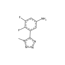 Cn1nnnc1-c1cc(N)cc(F)c1F